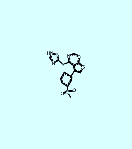 CS(=O)(=O)c1cccc(-c2csc3ncnc(Sc4nc[nH]n4)c23)c1